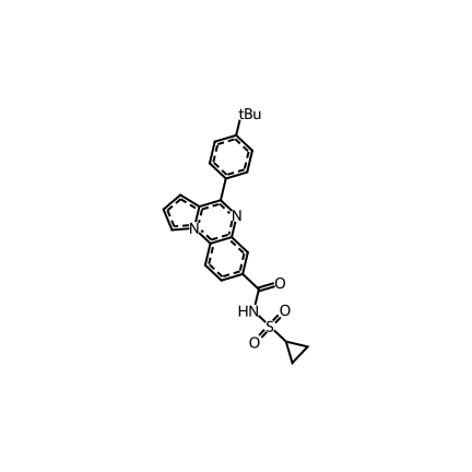 CC(C)(C)c1ccc(-c2nc3cc(C(=O)NS(=O)(=O)C4CC4)ccc3n3cccc23)cc1